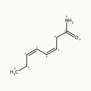 CC/C=C\C=C/CC(N)=O